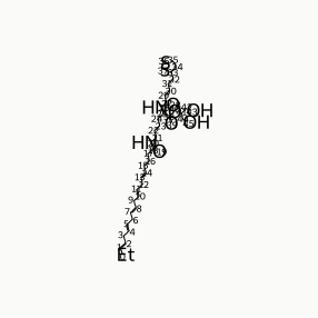 CCC=CCC=CCC=CCC=CCC=CCCCC(=O)NCCCCC(NC(=O)CCCCC1CCSS1)C(=O)OC(CO)CO